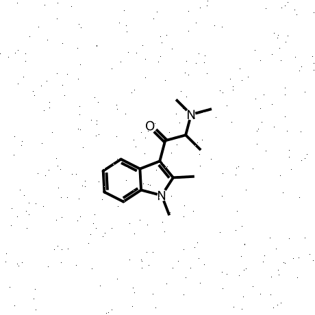 Cc1c(C(=O)C(C)N(C)C)c2ccccc2n1C